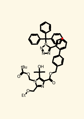 CCOCc1nc(C(=O)OCc2ccc(-c3ccccc3-c3nnnn3C(c3ccccc3)(c3ccccc3)c3ccccc3)cc2)c(C(C)(C)O)n1COC(=O)C(C)(C)C